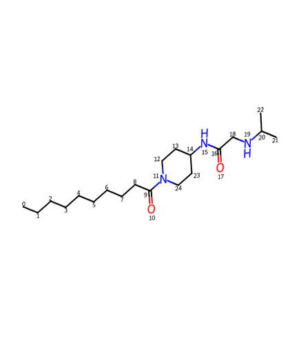 CCCCCCCCCC(=O)N1CCC(NC(=O)CNC(C)C)CC1